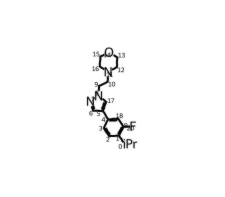 CC(C)c1ccc(-c2cnn(CCN3CCOCC3)c2)cc1F